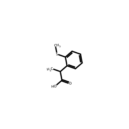 CSc1ccccc1C(C)C(=O)O